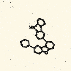 c1ccc(-c2ccc3oc4cccc(-c5ccc6[nH]c7ccccc7c6c5)c4c3c2)cc1